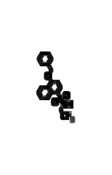 O=S(=O)(NCC(F)(F)F)c1ccc(OCc2ccccc2)c2ccccc12